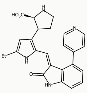 CCc1cc(C2CCN[C@@H]2C(=O)O)c(C=C2C(=O)Nc3cccc(-c4ccncc4)c32)[nH]1